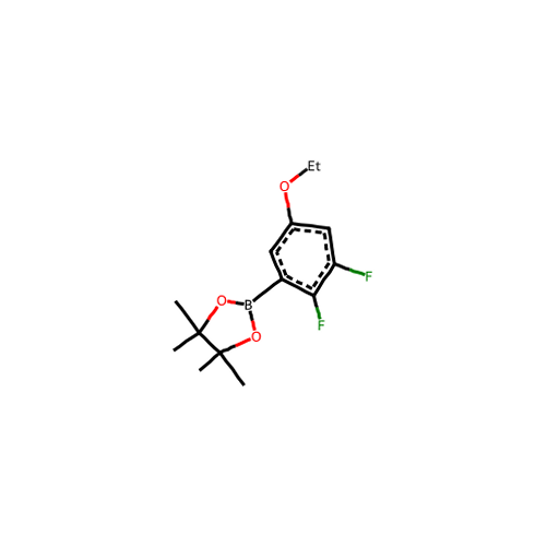 CCOc1cc(F)c(F)c(B2OC(C)(C)C(C)(C)O2)c1